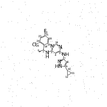 C[C@H](Nc1cc(Nc2cc(C3CC3)[nH]n2)ncn1)c1ccc(F)cc1Cl